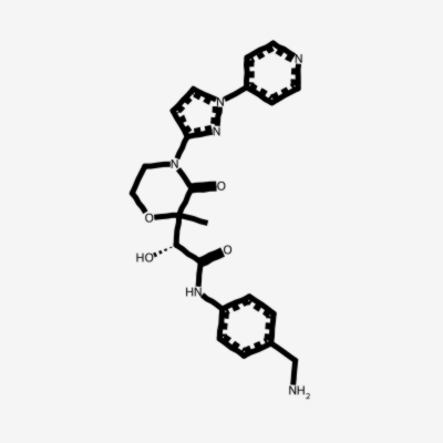 CC1([C@@H](O)C(=O)Nc2ccc(CN)cc2)OCCN(c2ccn(-c3ccncc3)n2)C1=O